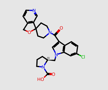 O=C(c1cn(C[C@@H]2CCCN2C(=O)O)c2cc(Cl)ccc12)N1CCC2(CC1)OCc1ccncc12